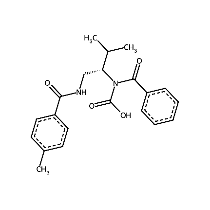 Cc1ccc(C(=O)NC[C@H](C(C)C)N(C(=O)O)C(=O)c2ccccc2)cc1